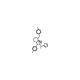 Cc1ccc(CC2CCCC3C2=NC(C(C)C2=CC=CC2)C3c2ccc(C)cc2)cc1